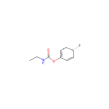 CCNC(=O)OC1=CC[C@H](F)C=C1